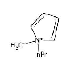 CCC[N+]1(C)C=CC=C1